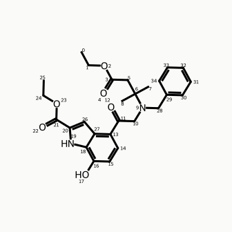 CCOC(=O)CC(C)(C)N(CC(=O)c1ccc(O)c2[nH]c(C(=O)OCC)cc12)Cc1ccccc1